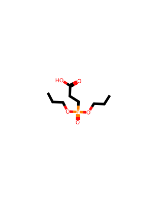 CCCOP(=O)(CCC(=O)O)OCCC